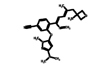 C=N/C(=C\C=C(/C)CC1(N)COC1)c1ccc(C#N)cc1Oc1cc(N(C)C)nn1C